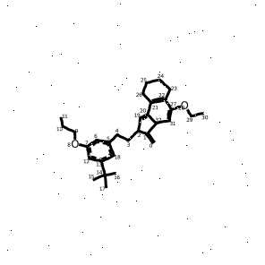 C=C1C(CCc2cc(OCCC)cc(C(C)(C)C)c2)C=C2C3=C(CCCC3)C(OCC)=CC12